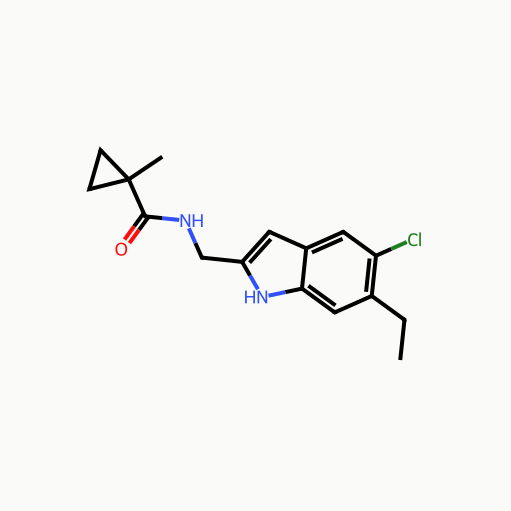 CCc1cc2[nH]c(CNC(=O)C3(C)CC3)cc2cc1Cl